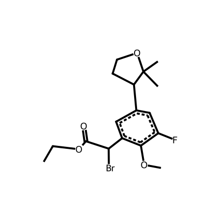 CCOC(=O)C(Br)c1cc(C2CCOC2(C)C)cc(F)c1OC